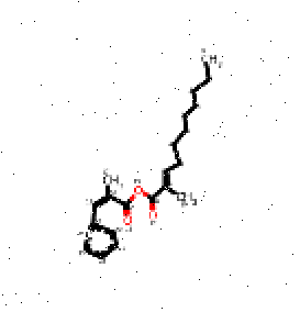 CCCCCCCCC=C(C)C(=O)OC(=O)C(C)=Cc1ccccc1